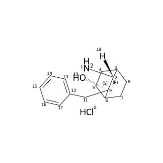 Cl.N[C@@H]1C2CCC(CC2)[C@@]1(O)Cc1ccccc1